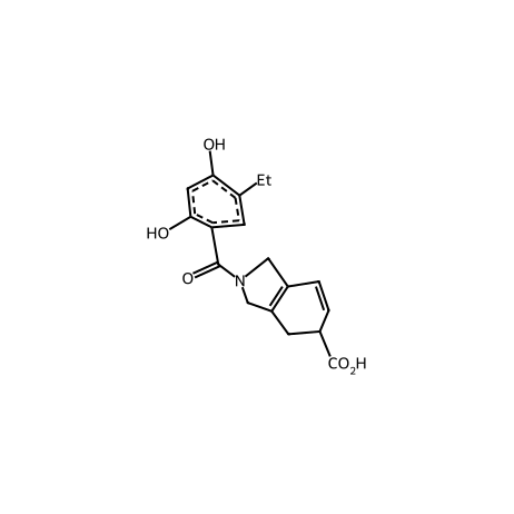 CCc1cc(C(=O)N2CC3=C(CC(C(=O)O)C=C3)C2)c(O)cc1O